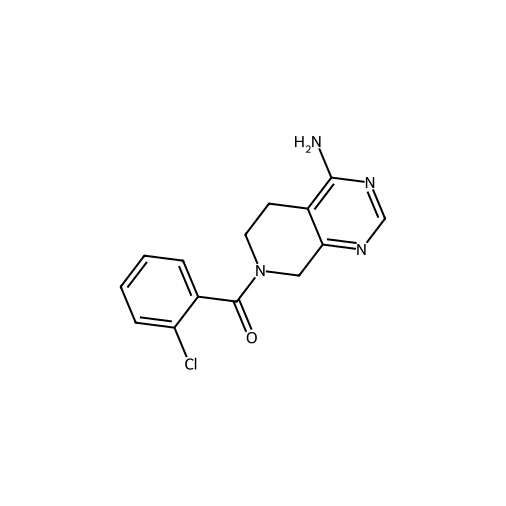 Nc1ncnc2c1CCN(C(=O)c1ccccc1Cl)C2